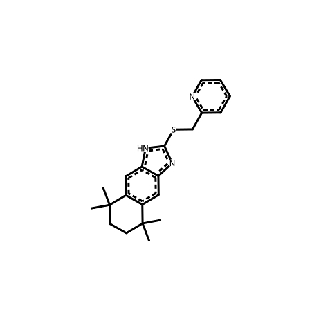 CC1(C)CCC(C)(C)c2cc3[nH]c(SCc4ccccn4)nc3cc21